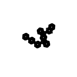 c1ccc(-c2ccc(-c3cccc(-n4c5ccccc5c5cc6c(cc54)c4ccccc4n6-c4cnc5ccccc5n4)c3)cc2)cc1